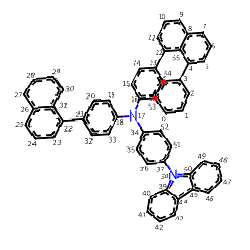 c1ccc(-c2cccc3cccc(-c4ccc(N(c5ccc(-c6cccc7ccccc67)cc5)c5ccc(-n6c7ccccc7c7ccccc76)cc5)cc4)c23)cc1